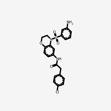 Nc1cccc(S(=O)(=O)N2CCOc3ccc(NC(=O)Cc4ccc(Cl)cc4)cc32)c1